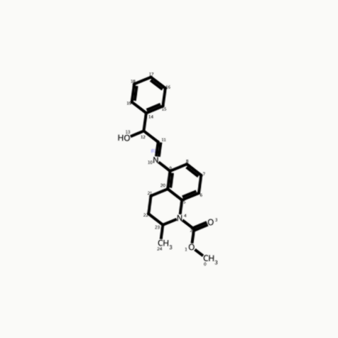 COC(=O)N1c2cccc(/N=C/C(O)c3ccccc3)c2CCC1C